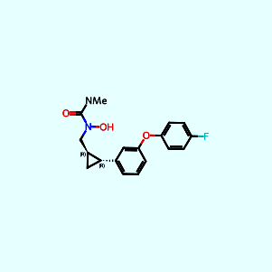 CNC(=O)N(O)C[C@@H]1C[C@H]1c1cccc(Oc2ccc(F)cc2)c1